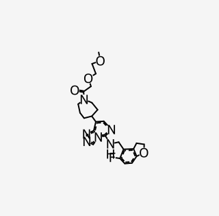 COCCOCC(=O)N1CCCC(c2cnc(NCc3c(F)ccc4c3CCO4)n3cnnc23)CC1